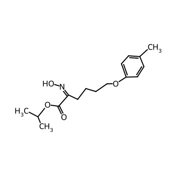 Cc1ccc(OCCCCC(=NO)C(=O)OC(C)C)cc1